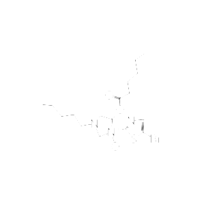 CCCCCC(=O)OC1CN(CCCCC)C[N+]1([O-])c1ncc(Br)s1